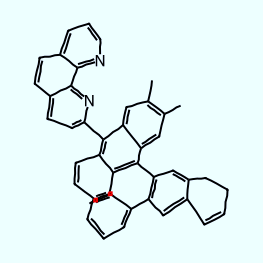 Cc1ccc2c(-c3ccc4ccc5cccnc5c4n3)c3cc(C)c(C)cc3c(-c3cc4c(cc3-c3ccccc3)C=CCC4)c2c1